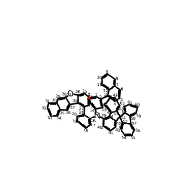 c1cc(-c2cccc3ccccc23)cc(N(c2ccccc2-c2cccc3oc4cc5ccccc5cc4c23)c2cccc3c2-c2ccccc2C32c3ccccc3-c3ccccc32)c1